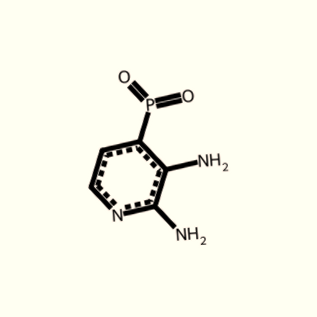 Nc1nccc(P(=O)=O)c1N